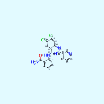 NC(=O)c1ccccc1Nc1nc(-c2cccnc2)nc2cc(Cl)c(Cl)cc12